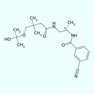 C[C@@H](CNC(=O)CC(C)(C)COC(C)(C)O)NC(=O)c1cccc(C#N)c1